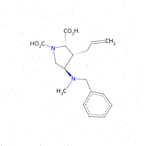 C=CC[C@H]1[C@@H](C(=O)O)N(C(=O)O)C[C@@H]1N(C)Cc1ccccc1